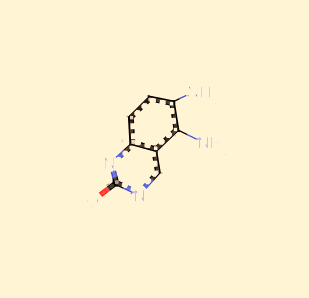 Nc1ccc2[nH]c(=O)ncc2c1N